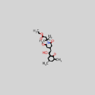 CCOC(=O)CC(C)(C)N1C(=O)CC(C[C@@H](O)C2C[C@@H](C)CC(C)C2=O)CC1=O